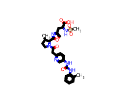 Cc1ccccc1NC(=O)Nc1ccc(CC(=O)N2CCC(C)C2c2nc(CC(NS(C)(=O)=O)C(=O)O)co2)nc1